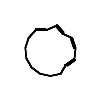 [C]1=C/C=C\C=C\C=C\CCCCCCC/1